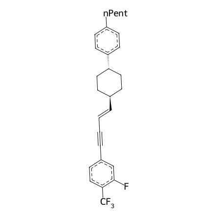 CCCCCc1ccc([C@H]2CC[C@H](C=CC#Cc3ccc(C(F)(F)F)c(F)c3)CC2)cc1